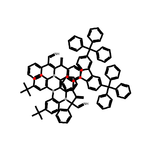 C=C(/C(=C(\C=N)c1ccccc1)N1c2ccc(C(C)(C)C)cc2B2c3cc(C(C)(C)C)ccc3N(C(C=N)(C(=C)c3ccccc3)c3ccccc3)c3cc(-n4c5ccc(C(c6ccccc6)(c6ccccc6)c6ccccc6)cc5c5cc(C(c6ccccc6)(c6ccccc6)c6ccccc6)ccc54)cc1c32)c1ccccc1